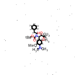 COc1cc2c(cc1N(C)C)OC(C)(C)[C@H](O)[C@H]2N(CCc1ccccc1)C(=O)OC(C)(C)C